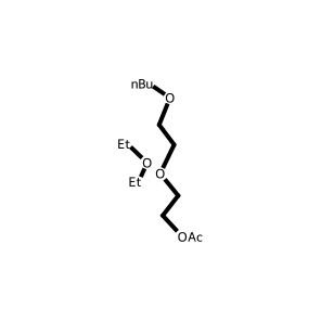 CCCCOCCOCCOC(C)=O.CCOCC